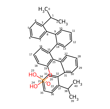 CC(C)c1ccccc1-c1ccccc1-c1cccc(OP(=O)(O)O)c1-c1ccccc1-c1ccccc1C(C)C